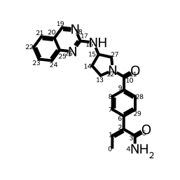 CC=C(C(N)=O)c1ccc(C(=O)N2CCC(Nc3ncc4ccccc4n3)C2)cc1